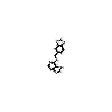 c1nc(SCc2ccc3c(c2)OCO3)c2[nH]cnc2n1